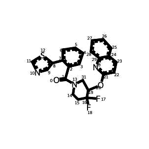 O=C(c1ccccc1-c1cncs1)N1CCC(F)(F)C(Oc2ccc3ccccc3n2)C1